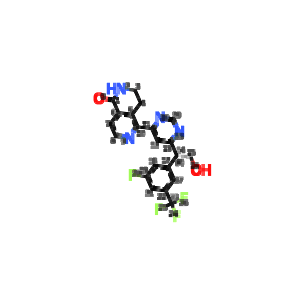 O=C1NCCc2c1ccnc2-c1cc([C@H](CO)c2cc(F)cc(C(F)(F)F)c2)ncn1